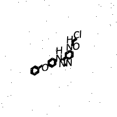 O=C(C=CCl)Nc1ccc2ncnc(Nc3ccc(OCc4ccccc4)cc3)c2c1